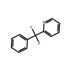 FC(F)(c1ccccc1)c1ccccn1